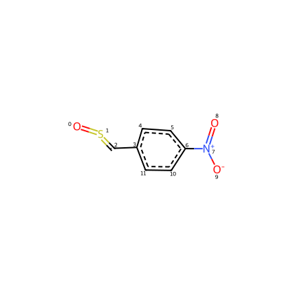 O=S=[C]c1ccc([N+](=O)[O-])cc1